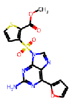 COC(=O)c1sccc1S(=O)(=O)n1cnc2c(-c3ccco3)nc(N)nc21